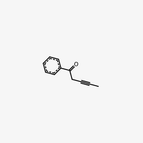 CC#CCC(=O)c1ccccc1